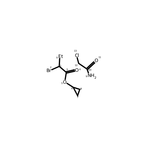 CCC(Br)C(=O)OC1CC1.NC(=O)CCl